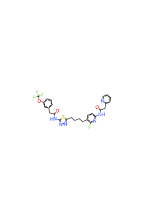 O=C(Cc1ccccn1)Nc1ccc(CCCCc2nnc(NC(=O)Cc3cccc(OC(F)(F)F)c3)s2)c(F)n1